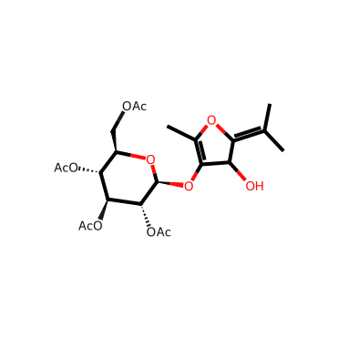 CC(=O)OC[C@H]1O[C@@H](OC2=C(C)OC(=C(C)C)C2O)[C@H](OC(C)=O)[C@@H](OC(C)=O)[C@@H]1OC(C)=O